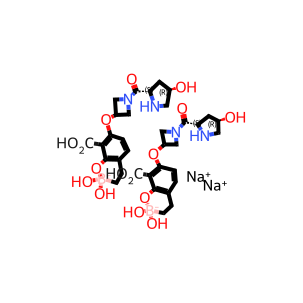 O=C(O)c1c(OC2CN(C(=O)[C@@H]3C[C@@H](O)CN3)C2)ccc2c1O[B-](O)(O)CC2.O=C(O)c1c(OC2CN(C(=O)[C@@H]3C[C@@H](O)CN3)C2)ccc2c1O[B-](O)(O)CC2.[Na+].[Na+]